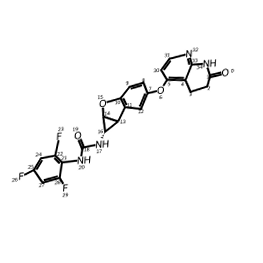 O=C1CCc2c(Oc3ccc4c(c3)C3C(O4)[C@H]3NC(=O)Nc3c(F)cc(F)cc3F)ccnc2N1